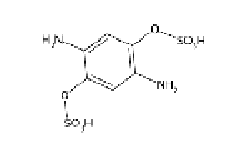 Nc1cc(OS(=O)(=O)O)c(N)cc1OS(=O)(=O)O